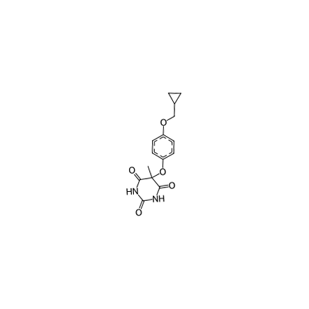 CC1(Oc2ccc(OCC3CC3)cc2)C(=O)NC(=O)NC1=O